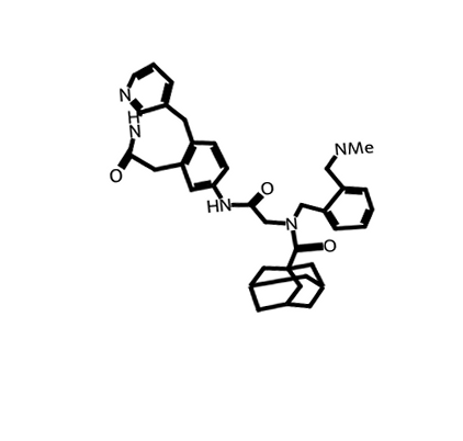 CNCc1ccccc1CN(CC(=O)Nc1ccc2c(c1)CC(=O)Nc1ncccc1C2)C(=O)C12CC3CC(CC(C3)C1)C2